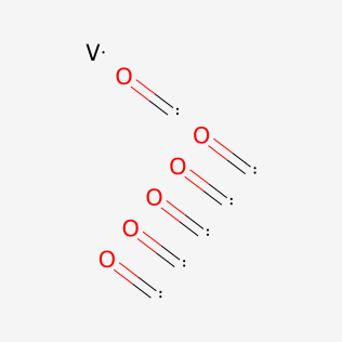 [C]=O.[C]=O.[C]=O.[C]=O.[C]=O.[C]=O.[V]